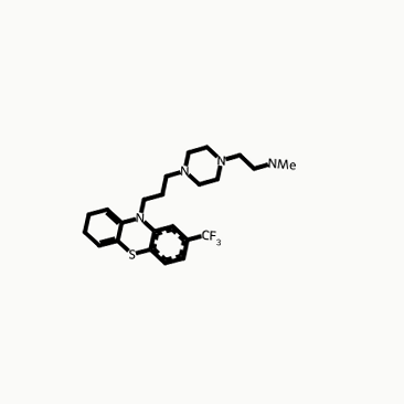 CNCCN1CCN(CCCN2C3=CCCC=C3Sc3ccc(C(F)(F)F)cc32)CC1